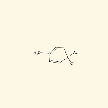 CC(=O)C1(Cl)C=CC(C)=CC1